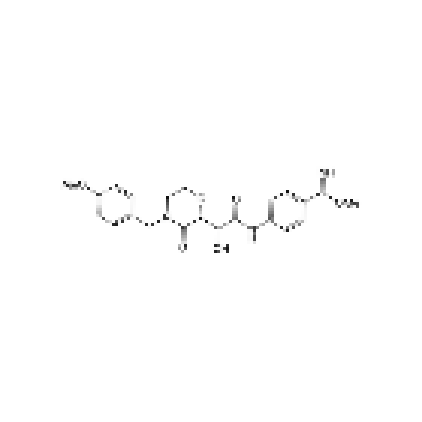 COC(=N)c1ccc(NC(=O)[C@H](O)[C@H]2OCCN(Cc3ccc(OC)cc3)C2=O)cc1